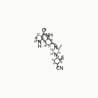 CC1CN(c2ccc(C#N)cc2F)CCN1Cc1ccc2c3c(c(=O)[nH]c2c1)CCCN3